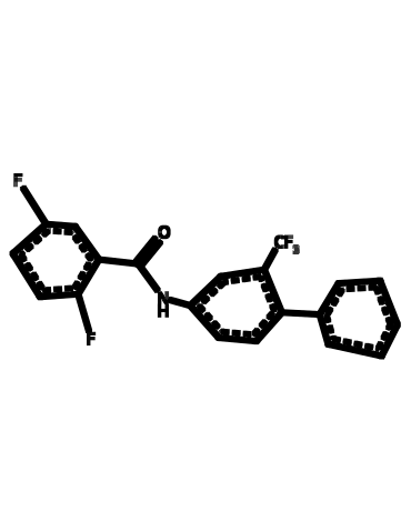 O=C(Nc1ccc(-c2ccccc2)c(C(F)(F)F)c1)c1cc(F)ccc1F